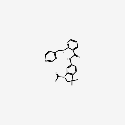 CC(=O)N1CC(C)(C)c2ccc(NC(=O)c3cccnc3NCc3ccncc3)cc21